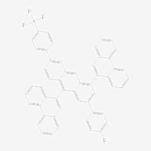 Fc1ccc(-c2cc(-c3cc4ccccc4c4ccccc34)c3cc4cc(-c5ccc(C(F)(F)F)cc5)ccc4c(-c4cc5ccccc5c5ccccc45)c3c2)cc1